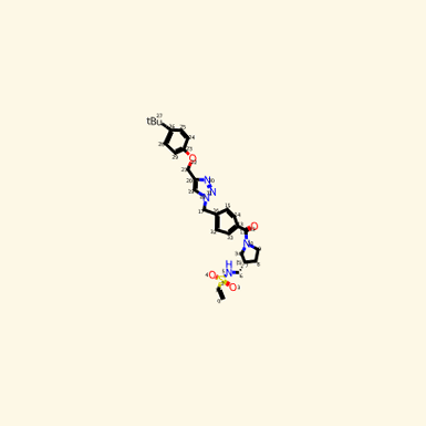 C=CS(=O)(=O)NC[C@H]1CCN(C(=O)c2ccc(Cn3cc(COc4ccc(C(C)(C)C)cc4)nn3)cc2)C1